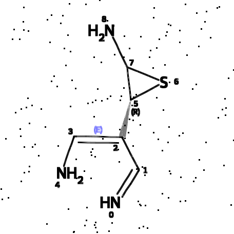 N=C/C(=C\N)[C@H]1SC1N